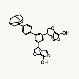 Oc1ncn2c1OCC2c1cc(-c2ccc(C34CC5CC(CC(C5)C3)C4)cc2)cc(C2COc3c(O)ncn32)c1